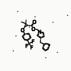 CC1(C)C(Oc2ccc(C(F)(F)F)cc2)C1C(=O)OCn1ccc(Cc2ccccc2)c1